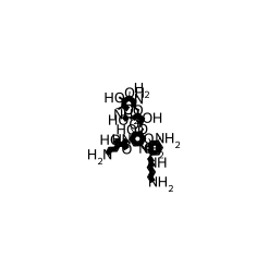 NCCCNC[C@@H]1CC[C@@H](N)[C@@H](O[C@H]2[C@H](O[C@@H]3O[C@H](CO)[C@@H](O[C@H]4O[C@@H](CN)[C@@H](O)[C@H](O)[C@H]4N)[C@H]3O)[C@@H](O)[C@H](NC(=O)C(O)CCN)C[C@@H]2N)O1